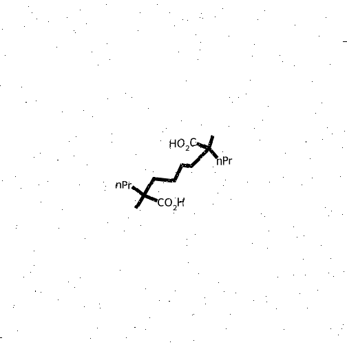 CCCC(C)(CCCCC(C)(CCC)C(=O)O)C(=O)O